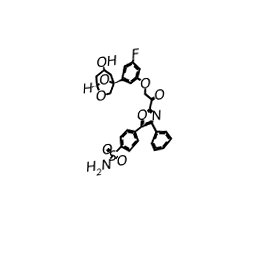 NS(=O)(=O)c1ccc(-c2oc(C(=O)COc3cc(F)cc([C@]45CO[C@@H](C[C@@H](O)C4)O5)c3)nc2-c2ccccc2)cc1